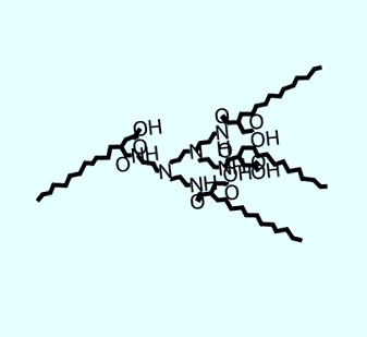 CCCCCCCCCCCCC(CC(=O)O)C(=O)NCCCN(CCCNC(=O)C(CCCCCCCCCCCC)CC(=O)O)CCCN(CCCNC(=O)C(CCCCCCCCCCCC)CC(=O)O)CCCNC(=O)C(CCCCCCCCCCCC)CC(=O)O